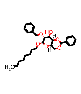 C=CCCCCCCO[C@@H]1O[C@@H]2COC(c3ccccc3)O[C@@H]2[C@H](O)[C@H]1OCc1ccccc1